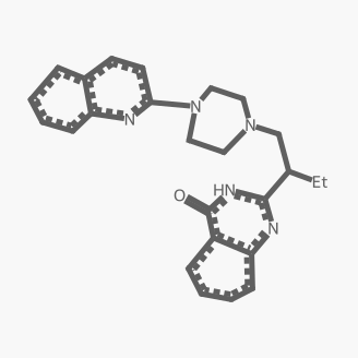 CCC(CN1CCN(c2ccc3ccccc3n2)CC1)c1nc2ccccc2c(=O)[nH]1